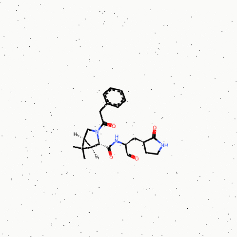 CC1(C)[C@@H]2[C@@H](C(=O)N[C@H](C=O)C[C@@H]3CCNC3=O)N(C(=O)Cc3ccccc3)C[C@@H]21